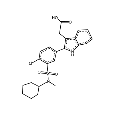 CN(C1CCCCC1)S(=O)(=O)c1cc(-c2[nH]c3ccccc3c2CC(=O)O)ccc1Cl